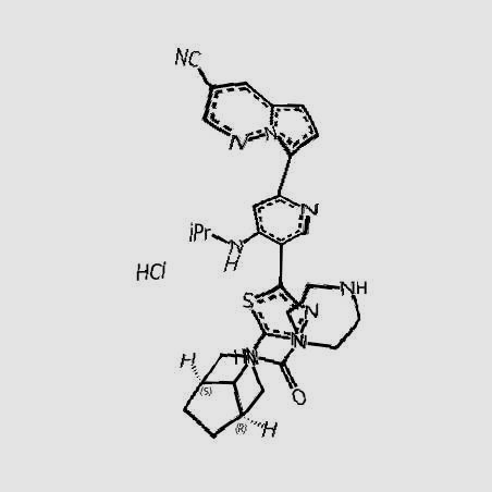 CC(C)Nc1cc(-c2ccc3cc(C#N)cnn23)ncc1-c1nnc(N2C[C@H]3CC[C@@H](C2)C3NC(=O)N2CCNCC2)s1.Cl